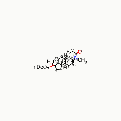 CCCCCCCCCCCOC1CC[C@H]2[C@@H]3CCC4N(C)C(=O)CC[C@]4(C)[C@@H]3CC[C@]12C